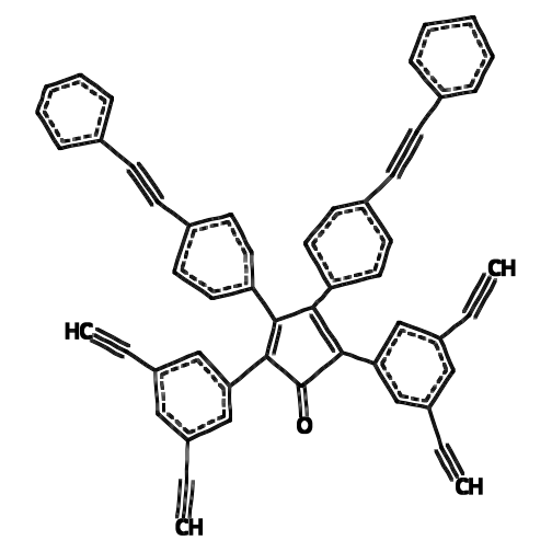 C#Cc1cc(C#C)cc(C2=C(c3ccc(C#Cc4ccccc4)cc3)C(c3ccc(C#Cc4ccccc4)cc3)=C(c3cc(C#C)cc(C#C)c3)C2=O)c1